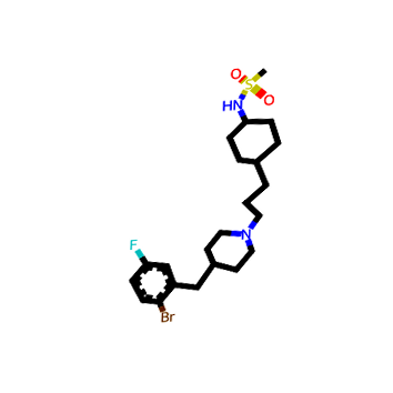 CS(=O)(=O)NC1CCC(CCCN2CCC(Cc3cc(F)ccc3Br)CC2)CC1